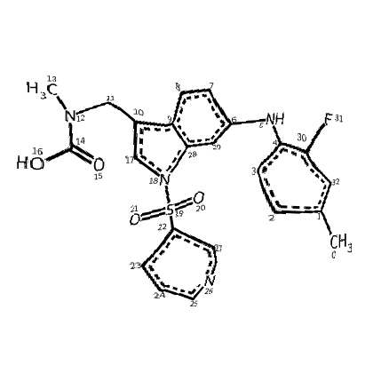 Cc1ccc(Nc2ccc3c(CN(C)C(=O)O)cn(S(=O)(=O)c4cccnc4)c3c2)c(F)c1